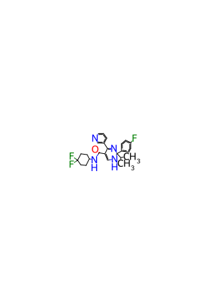 CC(C)C1(c2ccc(F)cc2)N=C(c2cccnc2)C(C(=O)NC2CCC(F)(F)CC2)=CN1